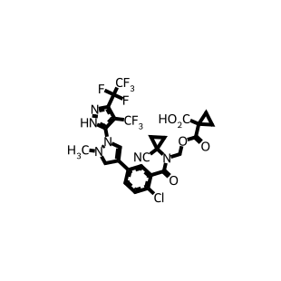 CN1CC(c2ccc(Cl)c(C(=O)N(COC(=O)C3(C(=O)O)CC3)C3(C#N)CC3)c2)=CN1c1[nH]nc(C(F)(F)C(F)(F)F)c1C(F)(F)F